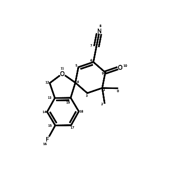 CC1(C)CC2(C=C(C#N)C1=O)OCc1cc(F)ccc12